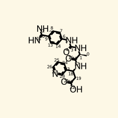 C[C@H](NC(=O)Nc1ccc(C(=N)N)cc1)C(=O)NC(CC(=O)O)c1cccnc1